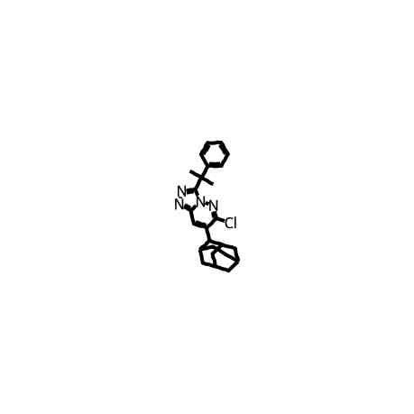 CC(C)(c1ccccc1)c1nnc2cc(C3C4CC5CC(C4)CC3C5)c(Cl)nn12